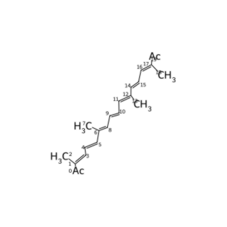 CC(=O)/C(C)=C/C=C/C(C)=C/C=C/C=C(C)/C=C/C=C(\C)C(C)=O